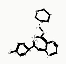 C=C(/C=c1/nccn/c1=C(/N)OC[C@H]1CCCNC1)c1ccc(Cl)cc1